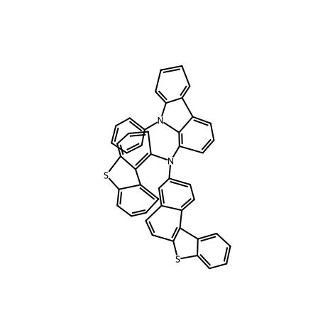 c1ccc(-n2c3ccccc3c3cccc(N(c4ccc5c(ccc6sc7ccccc7c65)c4)c4cccc5sc6ccccc6c45)c32)cc1